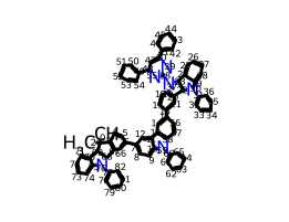 CC1(C)c2ccc(-c3ccc4c(c3)c3cc(-c5ccc6c(c5)C5C(c7ccccc7N5c5ccccc5)N6c5nc(-c6ccccc6)cc(-c6ccccc6)n5)ccc3n4-c3ccccc3)cc2C2C1c1ccccc1N2c1ccccc1